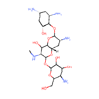 CNC1C(OC2OC(CO)C(N)C(O)C2O)O[C@H]2C[C@H](N)C(OC3C(N)C[C@@H](N)C[C@H]3O)OC2C1O